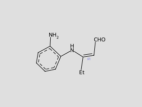 CC/C(=C/C=O)Nc1ccccc1N